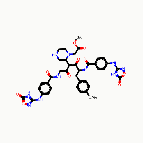 COc1ccc(CC(NC(=O)c2ccc(Nc3noc(=O)[nH]3)cc2)C(=O)C(C(=O)CNC(=O)c2ccc(Nc3noc(=O)[nH]3)cc2)C2CNCCN2CC(=O)OC(C)(C)C)cc1